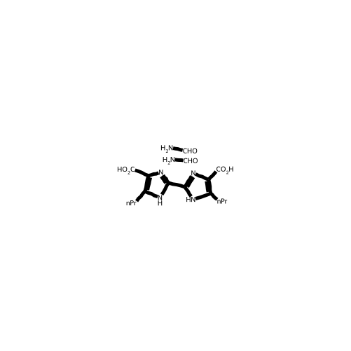 CCCc1[nH]c(-c2nc(C(=O)O)c(CCC)[nH]2)nc1C(=O)O.NC=O.NC=O